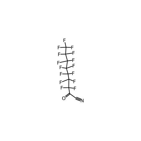 N#CC(=O)C(F)(F)C(F)(F)C(F)(F)C(F)(F)C(F)(F)C(F)(F)C(F)(F)F